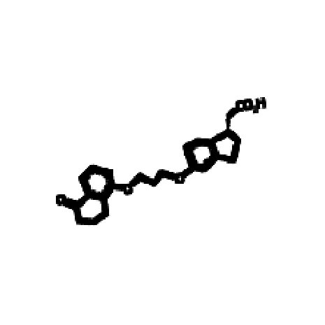 O=C(O)C[C@@H]1CCc2cc(OCCCOc3cccc4c3CCCC4=O)ccc21